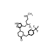 CNCCN(C)Cc1c[nH]nc1C1CCC(=O)N(Cc2ccc(C(F)(F)F)cc2)C1